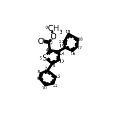 COC(=O)c1sc(-c2ccccc2)cc1-c1ccccc1